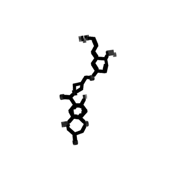 CC1C=CC(OCC2CN(C(=O)c3cc4c(cc3F)OCC(=O)CN4)C2)=C/C1=C/C=C\N